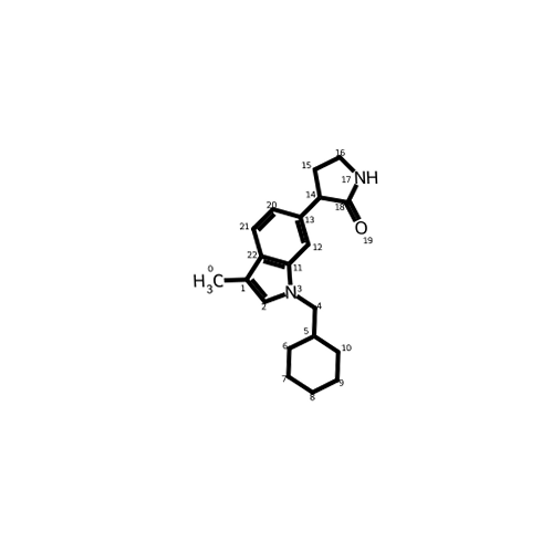 Cc1cn(CC2CCCCC2)c2cc(C3CCNC3=O)ccc12